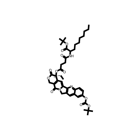 CCCCCCCCC(NC(=O)CCC(=O)O[C@]1(CC)C(=O)OCc2c1cc1n(c2=O)Cc2cc3cc(OC(=O)OC(C)(C)C)ccc3nc2-1)C(=O)OC(C)(C)C